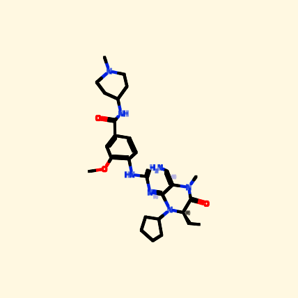 C=C(/N=C1\C(=C/N)N(C)C(=O)[C@@H](CC)N1C1CCCC1)Nc1ccc(C(=O)NC2CCN(C)CC2)cc1OC